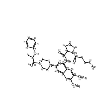 COc1cc2nc(N3CCN(C(=O)C(C)Oc4ccccc4)CC3)nc(NC(=O)C3CSCN3C(=O)CCSC(C)=O)c2cc1OC